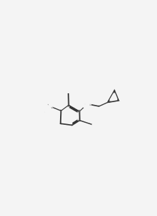 CC1=CCC(N)C(C)=C1OCC1CC1